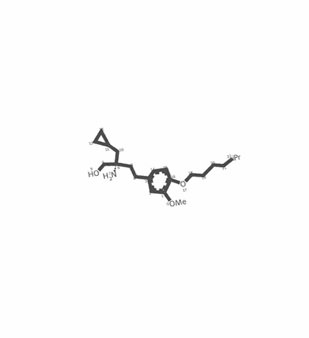 COc1cc(CC[C@@](N)(CO)CC2CC2)ccc1OCCCCC(C)C